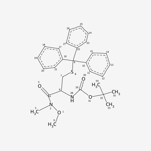 CON(C)C(=O)C(CSC(c1ccccc1)(c1ccccc1)c1ccccc1)NC(=O)OC(C)(C)C